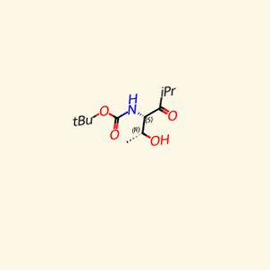 CC(C)C(=O)[C@@H](NC(=O)OC(C)(C)C)[C@@H](C)O